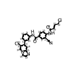 N#Cc1cc(C(=O)Nc2cccc(-c3cc4nccn4cc3Cl)c2)ccc1NC(=O)/C=C/CCl